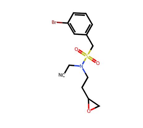 N#CCN(CCC1CO1)S(=O)(=O)Cc1cccc(Br)c1